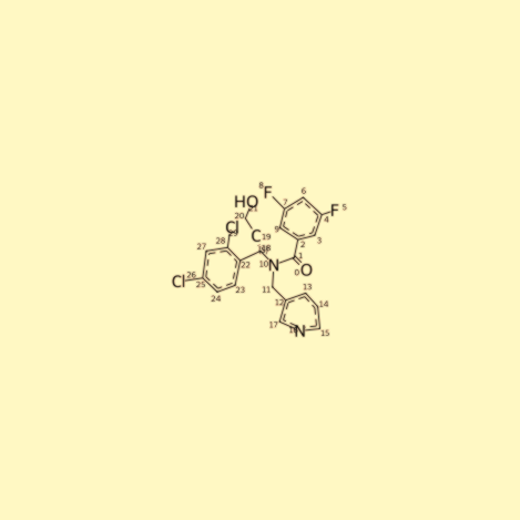 O=C(c1cc(F)cc(F)c1)N(Cc1cccnc1)[C@@H](CCO)c1ccc(Cl)cc1Cl